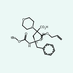 C=CCOC(=O)C(C[C@@](Cc1ccccc1)(NC(=O)OC(C)(C)C)OCC)(C(=O)O)N1CCOCC1